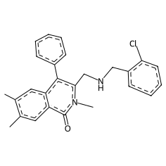 Cc1cc2c(-c3ccccc3)c(CNCc3ccccc3Cl)n(C)c(=O)c2cc1C